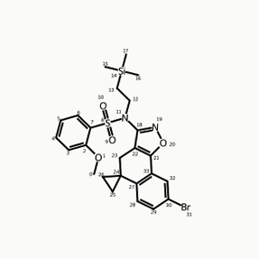 COc1ccccc1S(=O)(=O)N(CC[Si](C)(C)C)c1noc2c1CC1(CC1)c1ccc(Br)cc1-2